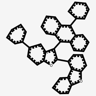 c1ccc(-c2ccc3oc(-c4cccc5oc6ccccc6c45)c(-c4c5ccccc5c(-c5ccccc5)c5ccccc45)c3c2)cc1